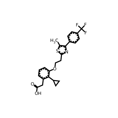 Cc1sc(CCOc2cccc(CC(=O)O)c2C2CC2)nc1-c1ccc(C(F)(F)F)cc1